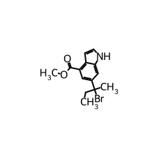 CCC(C)(Br)c1cc(C(=O)OC)c2cc[nH]c2c1